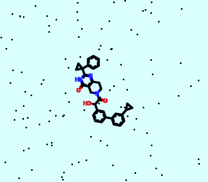 O=C(C(O)c1cccc(-c2cccc(C3CC3)c2)c1)N1CCc2nc(C3(c4ccccc4)CC3)[nH]c(=O)c2C1